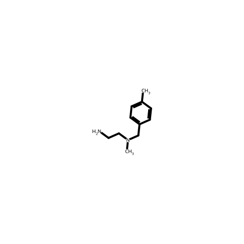 Cc1ccc(CN(C)CCN)cc1